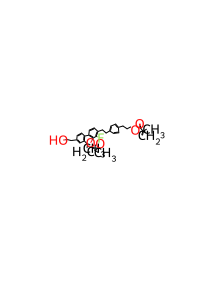 C=C(C)C(=O)OCCCc1ccc(CCc2ccc(-c3ccc(CCO)cc3CC)c(OC(=O)C(=C)C)c2F)cc1